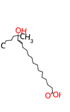 CCCCC(C)(O)C=CCCCCCCCCCCCCC(=O)O